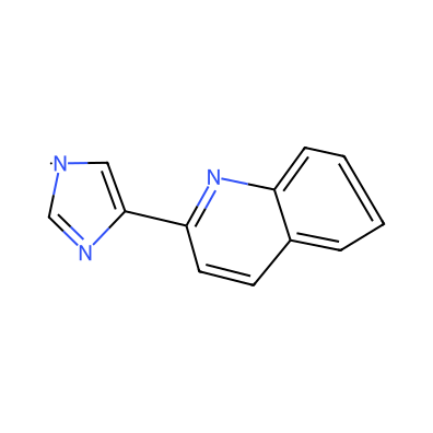 C1=NC(c2ccc3ccccc3n2)=C[N]1